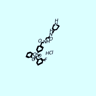 Cl.O=C(CNC(=O)c1ccc(S(=O)(=O)N(Oc2ccccc2)c2cccc(F)c2)cc1)NCC1CCNCC1